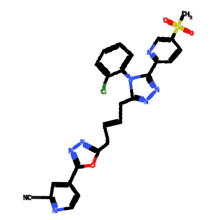 CS(=O)(=O)c1ccc(-c2nnc(C/C=C/Cc3nnc(-c4ccnc(C#N)c4)o3)n2-c2ccccc2Cl)nc1